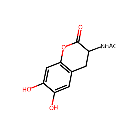 CC(=O)NC1Cc2cc(O)c(O)cc2OC1=O